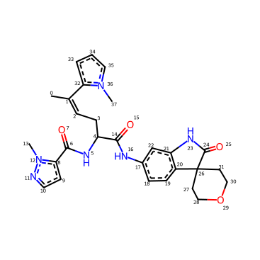 CC(=CCC(NC(=O)c1ccnn1C)C(=O)Nc1ccc2c(c1)NC(=O)C21CCOCC1)c1cccn1C